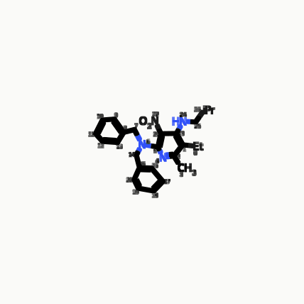 CCc1c(C)nc(N(Cc2ccccc2)Cc2ccccc2)c([N+](=O)[O-])c1NCC(C)C